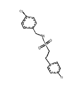 O=S(=O)(CCc1ccc(Cl)cc1)NCc1[c]cc(Cl)cc1